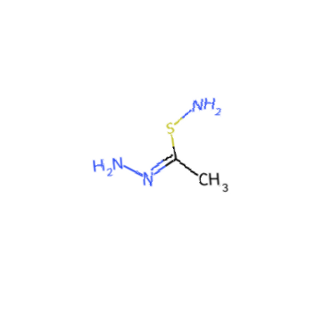 C/C(=N/N)SN